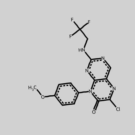 COc1ccc(-n2c(=O)c(Cl)nc3cnc(NCC(F)(F)F)nc32)cc1